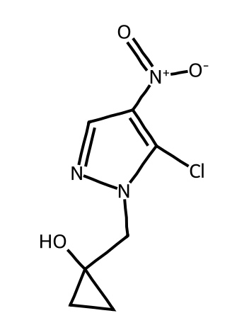 O=[N+]([O-])c1cnn(CC2(O)CC2)c1Cl